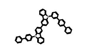 c1ccc(-c2ccc(-c3cccc(-n4c5ccccc5c5cc(-c6ccc7c(c6)c6ccccc6n7-c6ccc(-c7ccccc7)cc6)ccc54)c3)cc2)cc1